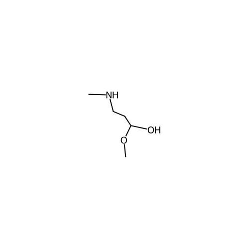 CNCCC(O)OC